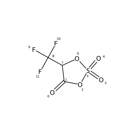 O=C1OS(=O)(=O)OC1C(F)(F)F